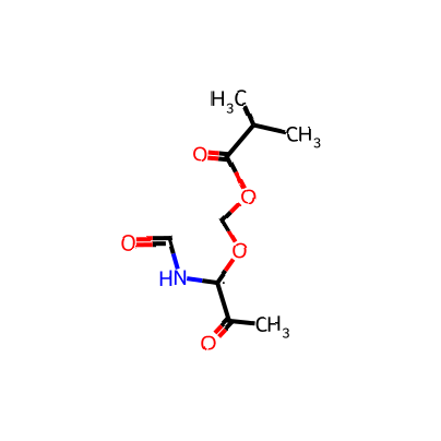 CC(=O)[C](NC=O)OCOC(=O)C(C)C